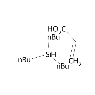 C=CC(=O)O.CCCC[SiH](CCCC)CCCC